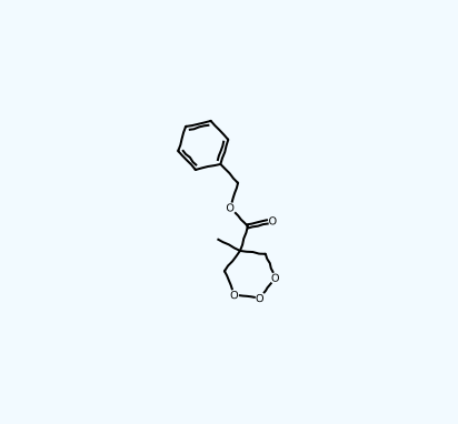 CC1(C(=O)OCc2ccccc2)COOOC1